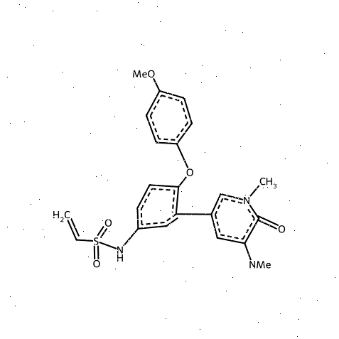 C=CS(=O)(=O)Nc1ccc(Oc2ccc(OC)cc2)c(-c2cc(NC)c(=O)n(C)c2)c1